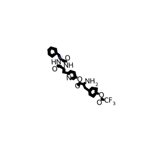 NC(Cc1ccc(OC(=O)C(F)(F)F)cc1)C(=O)Oc1ccc(C=c2[nH]c(=O)/c(=C/c3ccccc3)[nH]c2=O)nc1